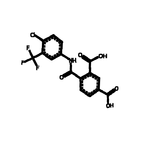 O=C(O)c1ccc(C(=O)Nc2ccc(Cl)c(C(F)(F)F)c2)c(C(=O)O)c1